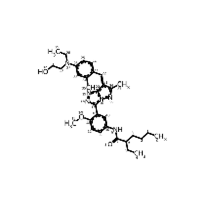 CCCCC(CC)C(=O)Nc1ccc(OC)c(-c2nnc3/c(=C\c4ccc(N(CC)CCO)cc4C)c(C)nn23)c1